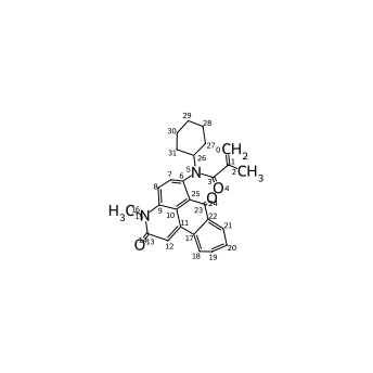 C=C(C)C(=O)N(c1ccc2c3c(cc(=O)n2C)-c2ccccc2C(=O)c13)C1CCCCC1